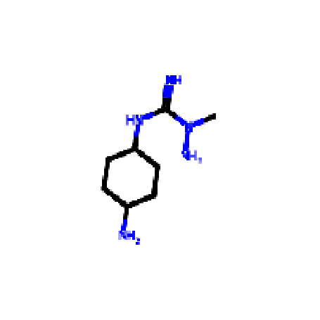 CN(N)C(=N)NC1CCC(N)CC1